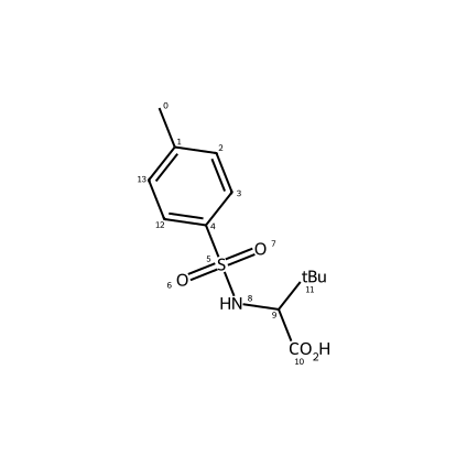 Cc1ccc(S(=O)(=O)NC(C(=O)O)C(C)(C)C)cc1